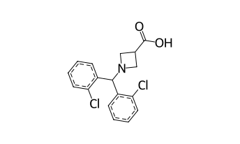 O=C(O)C1CN(C(c2ccccc2Cl)c2ccccc2Cl)C1